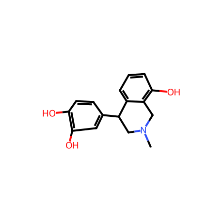 CN1Cc2c(O)cccc2C(c2ccc(O)c(O)c2)C1